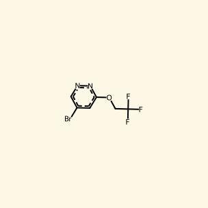 FC(F)(F)COc1cc(Br)cnn1